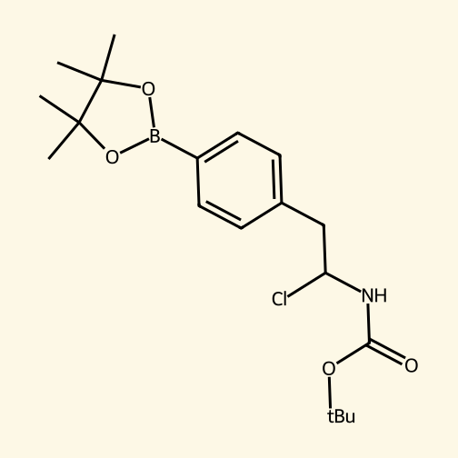 CC(C)(C)OC(=O)NC(Cl)Cc1ccc(B2OC(C)(C)C(C)(C)O2)cc1